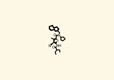 CCC(CC)C(=O)Nc1sc(C(=O)N(Cc2ccc3ccccc3c2)C2CCCC2)c(C)c1C#N